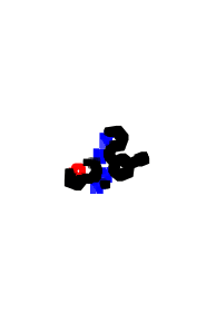 C#Cc1ccc2c(c1)C(c1ccccn1)=N[C@H](C)c1c(-c3ccco3)ncn1-2